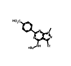 CCCCNc1nc(-c2ccc(C(=O)O)cc2)nc2c1c(CC)nn2C